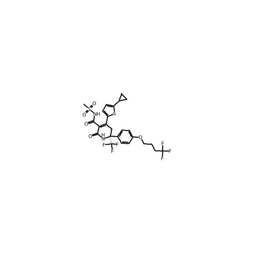 CS(=O)(=O)NC(=O)C1=C(c2ccc(C3CC3)s2)C[C@](c2ccc(OCCCC(F)(F)F)cc2)(C(F)(F)F)NC1=O